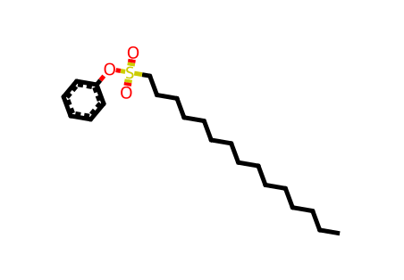 CCCCCCCCCCCCCCCS(=O)(=O)Oc1ccccc1